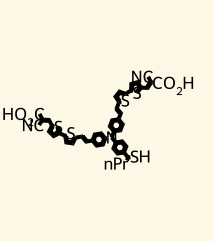 CCCC(S)c1ccc(N(c2ccc(/C=C/c3ccc(-c4ccc(/C=C(\C#N)C(=O)O)s4)s3)cc2)c2ccc(/C=C/c3ccc(-c4ccc(/C=C(\C#N)C(=O)O)s4)s3)cc2)cc1